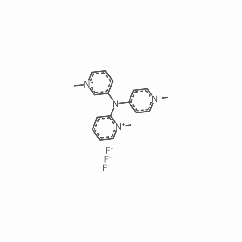 C[n+]1ccc(N(c2ccc[n+](C)c2)c2cccc[n+]2C)cc1.[F-].[F-].[F-]